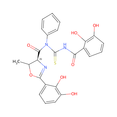 CC1OC(c2cccc(O)c2O)=N[C@@H]1C(=O)N(C(=S)NC(=O)c1cccc(O)c1O)c1ccccc1